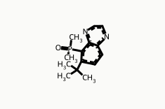 CC(C)(C)c1ccc2nccnc2c1P(C)(C)=O